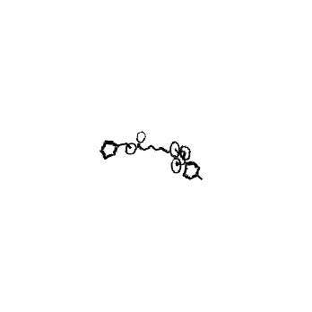 Cc1ccc(S(=O)(=O)OCCCCCC(=O)OCc2ccccc2)cc1